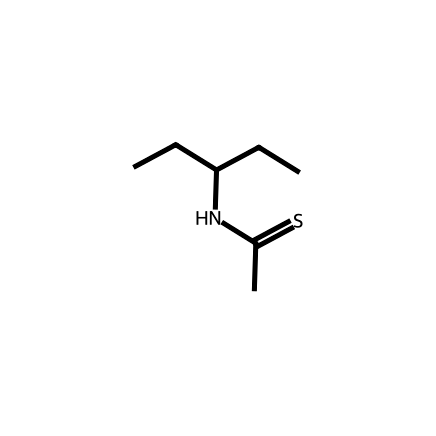 CCC(CC)NC(C)=S